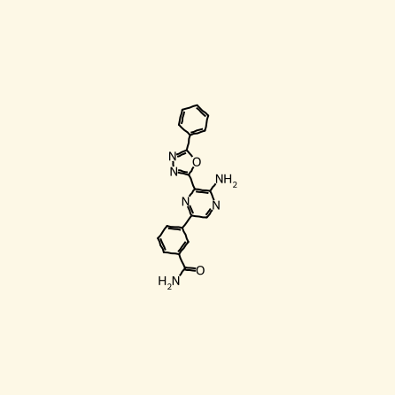 NC(=O)c1cccc(-c2cnc(N)c(-c3nnc(-c4ccccc4)o3)n2)c1